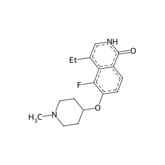 CCc1c[nH]c(=O)c2ccc(OC3CCN(C)CC3)c(F)c12